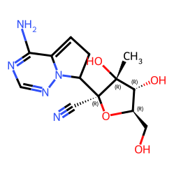 C[C@@]1(O)[C@H](O)[C@@H](CO)O[C@@]1(C#N)C1CC=C2C(N)=NC=NN21